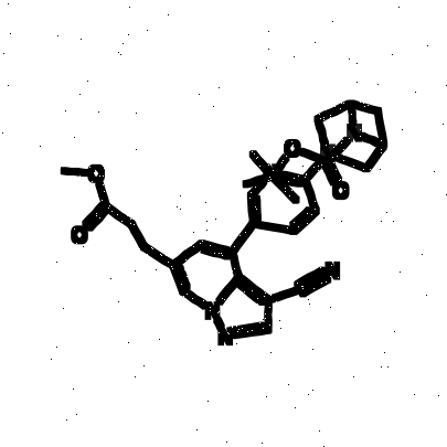 COC(=O)CCc1cc(-c2ccc(N3CC4CC(C3)N4C(=O)OC(C)(C)C)nc2)c2c(C#N)cnn2c1